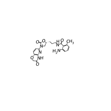 Cc1cccc(N)c1C(=O)NCCC[C@@H]1CN(c2ccc3c(n2)NC(=O)CO3)C(=O)O1